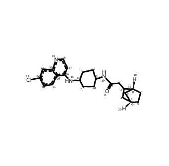 O=C(CC1C[C@H]2CC[C@@H]1C2)NC1CCC(Nc2ccnc3cc(Cl)ccc23)CC1